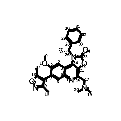 COc1cc2c(cc1-c1c(C)noc1C)nc(CN(C)C)c1oc(=O)n([C@H](C)c3ccccc3)c12